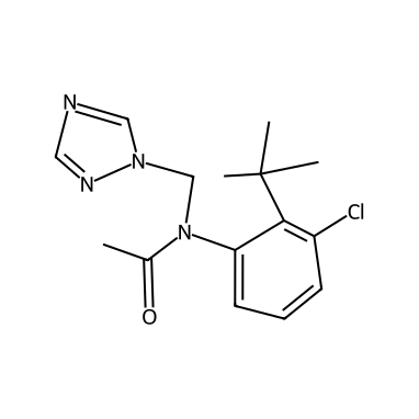 CC(=O)N(Cn1cncn1)c1cccc(Cl)c1C(C)(C)C